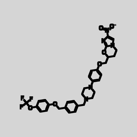 O=[N+]([O-])c1cn2c(n1)OC(COc1ccc(N3CCN(Cc4ccc(COc5ccc(OC(F)(F)F)cc5)cc4)CC3)cc1)CC2